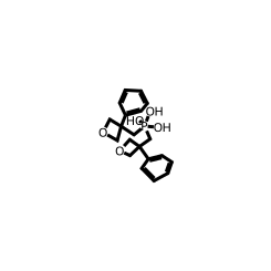 OP(O)(O)(CC1(c2ccccc2)COC1)CC1(c2ccccc2)COC1